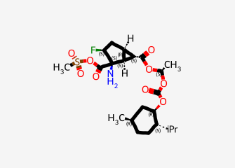 CC(C)[C@@H]1CC[C@@H](C)C[C@H]1OC(=O)O[C@@H](C)OC(=O)[C@H]1[C@@H]2C[C@H](F)[C@@](N)(C(=O)OS(C)(=O)=O)[C@@H]21